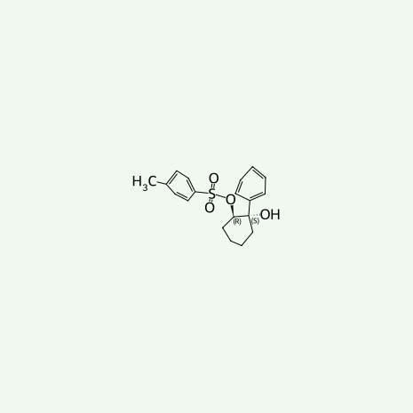 Cc1ccc(S(=O)(=O)O[C@@H]2CCCC[C@]2(O)c2ccccc2)cc1